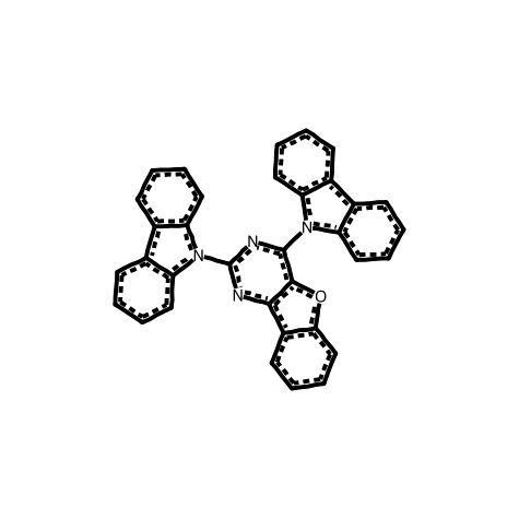 c1ccc2c(c1)oc1c(-n3c4ccccc4c4ccccc43)nc(-n3c4ccccc4c4ccccc43)nc12